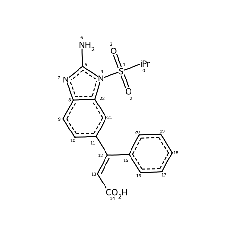 CC(C)S(=O)(=O)n1c(N)nc2ccc(C(=CC(=O)O)c3ccccc3)cc21